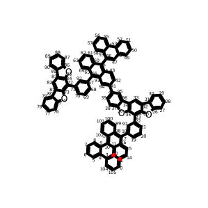 c1ccc(-c2ccccc2-c2c3ccccc3c(-c3cccc(-c4c5oc6ccccc6c5cc5c4oc4ccc(-c6ccc7c(-c8cc9ccccc9c9ccccc89)c8ccccc8c(-c8cccc(-c9c%10oc%11ccccc%11c%10cc%10c9oc9ccccc9%10)c8)c7c6)cc45)c3)c3ccccc23)cc1